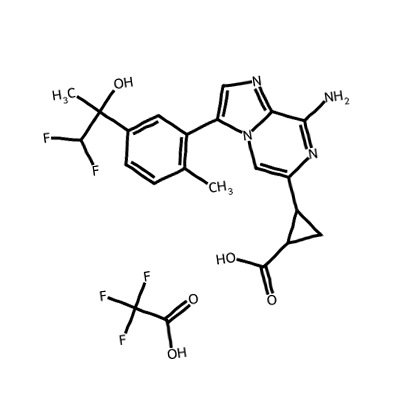 Cc1ccc(C(C)(O)C(F)F)cc1-c1cnc2c(N)nc(C3CC3C(=O)O)cn12.O=C(O)C(F)(F)F